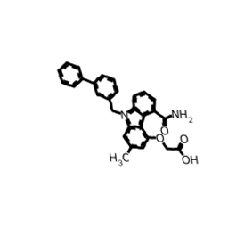 Cc1cc(OCC(=O)O)c2c3c(C(N)=O)cccc3n(Cc3cccc(-c4ccccc4)c3)c2c1